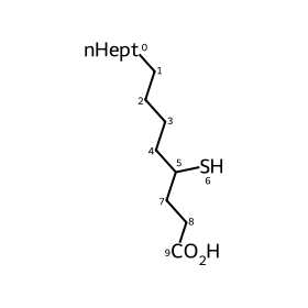 CCCCCCCCCCCC(S)CCC(=O)O